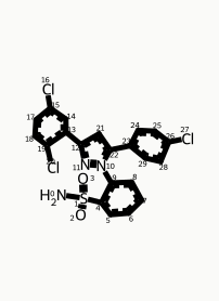 NS(=O)(=O)c1ccccc1-n1nc(-c2cc(Cl)ccc2Cl)cc1-c1ccc(Cl)cc1